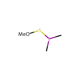 COSI(C)C